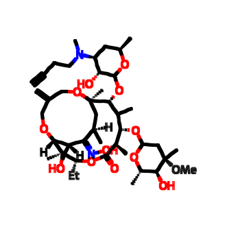 C#CCCN(C)[C@H]1C[C@@H](C)OC(O[C@@H]2C(C)[C@H](OC3C[C@@](C)(OC)[C@@H](O)[C@H](C)O3)[C@@H](C)C(=O)O[C@H](CC)[C@@](C)(O)[C@@H]3OCC(=C)CO[C@]2(C)C[C@@H](C)/C(=N\O)[C@@H]3C)[C@@H]1O